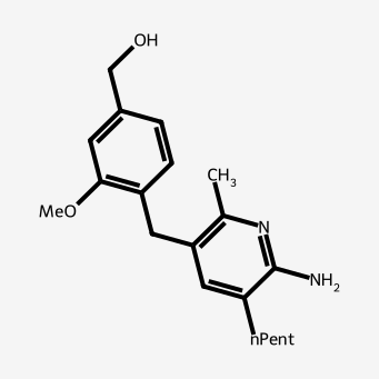 CCCCCc1cc(Cc2ccc(CO)cc2OC)c(C)nc1N